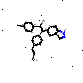 CC/C(=C(/c1ccc(/C=C/C(=O)O)cc1)c1ccc2[nH]ncc2c1)c1ccc(C)cc1